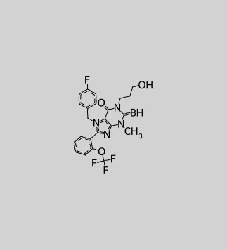 B=C1N(CCCO)C(=O)c2c(nc(-c3ccccc3OC(F)(F)F)n2Cc2ccc(F)cc2)N1C